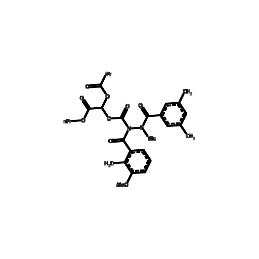 CCCOC(=O)C(OC(=O)C(C)C)OC(=O)N(C(=O)c1cccc(OC)c1C)N(C(=O)c1cc(C)cc(C)c1)C(C)(C)C